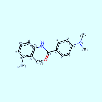 CCN(CC)c1ccc(C(=O)Nc2cccc(C(C)C)c2C)cc1